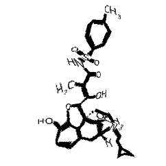 C/C(C(=O)NS(=O)(=O)c1ccc(C)cc1)=C(/O)[C@@H]1Oc2c(O)ccc3c2[C@@]12CCN(CC1CC1)[C@H](C3)[C@@]2(C)O